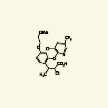 CCC(C(=O)O)C(C)c1ccc(OCCOC)cc1Oc1ncc(C(F)(F)F)cc1Cl